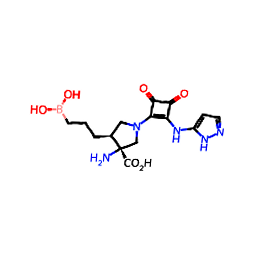 N[C@@]1(C(=O)O)CN(c2c(Nc3ccn[nH]3)c(=O)c2=O)C[C@@H]1CCCB(O)O